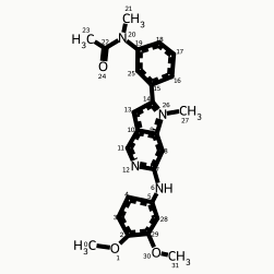 COc1ccc(Nc2cc3c(cn2)cc(-c2cccc(N(C)C(C)=O)c2)n3C)cc1OC